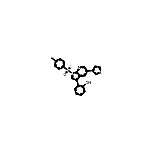 Cc1ccc(S(=O)(=O)n2cc(-c3ccccc3O)c3cc(-c4ccsc4)cnc32)cc1